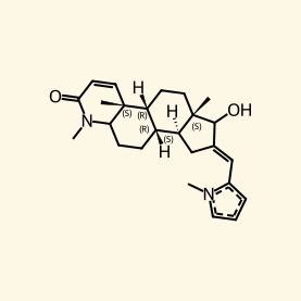 CN1C(=O)C=C[C@@]2(C)C1CC[C@@H]1[C@H]2CC[C@]2(C)C(O)C(=Cc3cccn3C)C[C@@H]12